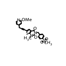 COc1cc(CC#Cc2cc3c(=O)n(Cc4ccc(S(C)(=O)=O)cc4)c(=O)n(C)c3s2)ccn1